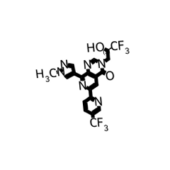 Cn1cc(-c2nc(-c3ccc(C(F)(F)F)cn3)cc3c(=O)n(C[C@H](O)C(F)(F)F)cnc23)cn1